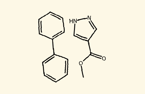 COC(=O)c1cn[nH]c1.c1ccc(-c2ccccc2)cc1